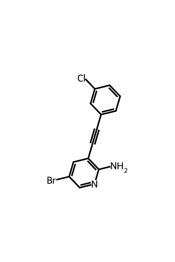 Nc1ncc(Br)cc1C#Cc1cccc(Cl)c1